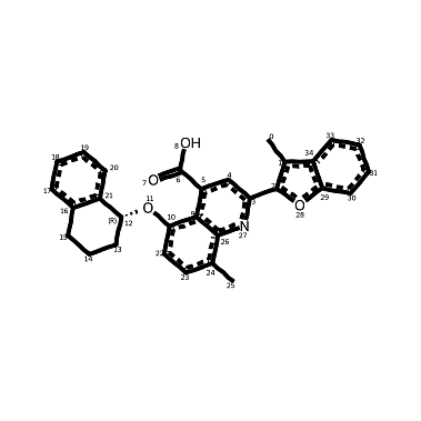 Cc1c(-c2cc(C(=O)O)c3c(O[C@@H]4CCCc5ccccc54)ccc(C)c3n2)oc2ccccc12